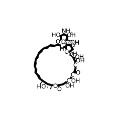 C[C@@H]1[C@H](O)[C@@H](C)/C=C/C=C/C=C/C=C/C=C/C=C/C=C/C(O[C@@H]2O[C@H](C)[C@@H](O)[C@H](N)[C@@H]2O)C[C@@H]2O[C@](O)(CC(O)[C@H](O)CCC(=O)CC(O)CC(O)CC(=O)O[C@H]1C)C[C@H](O)[C@H]2C(=O)O